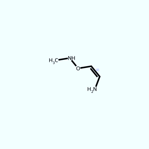 CNO/C=C\N